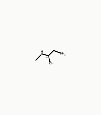 CB[C@H](O)CN